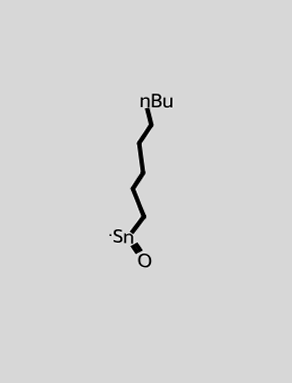 CCCCCCCC[CH2][Sn]=[O]